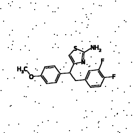 COc1ccc(C(Cc2ccc(F)c(F)c2)c2csc(N)n2)cc1